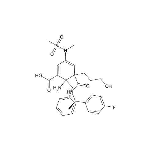 C[C@@H](NC(=O)C1(CCCO)C=C(N(C)S(C)(=O)=O)C=C(C(=O)O)C1(N)Cc1ccccc1)c1ccc(F)cc1